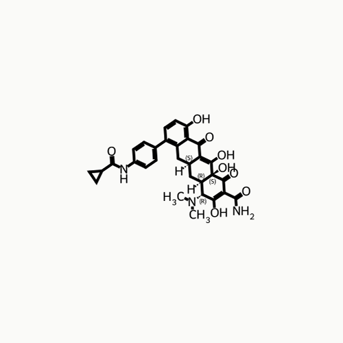 CN(C)[C@H]1C(O)=C(C(N)=O)C(=O)[C@@]2(O)C(O)=C3C(=O)c4c(O)ccc(-c5ccc(NC(=O)C6CC6)cc5)c4C[C@@H]3C[C@H]12